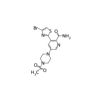 CS(=O)(=O)N1CCN(c2cnc(C(N)=O)c(-c3nc(Br)cs3)c2)CC1